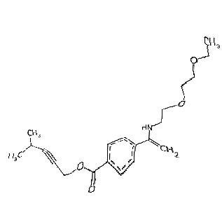 C=C(NCCOCCOCC)c1ccc(C(=O)OCC#CC(C)C)cc1